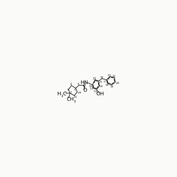 CC1(C)CCC(CC(=O)Nc2cc(O)cc(Cc3ccccc3)c2)CC1